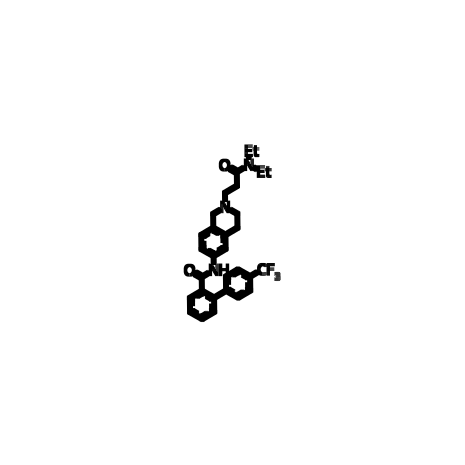 CCN(CC)C(=O)CCN1CCc2cc(NC(=O)c3ccccc3-c3ccc(C(F)(F)F)cc3)ccc2C1